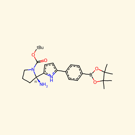 CC(C)(C)OC(=O)N1CCC[C@@]1(N)c1ccc(-c2ccc(B3OC(C)(C)C(C)(C)O3)cc2)[nH]1